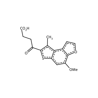 COc1cc2sc(C(=O)CCC(=O)O)c(C)c2c2ccoc12